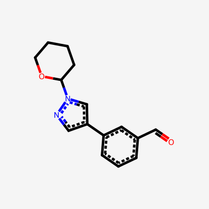 O=Cc1cccc(-c2cnn(C3CCCCO3)c2)c1